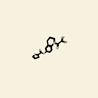 O=C(Oc1ccc2c(c1)CCCN2C(=O)C(Br)Br)c1cccs1